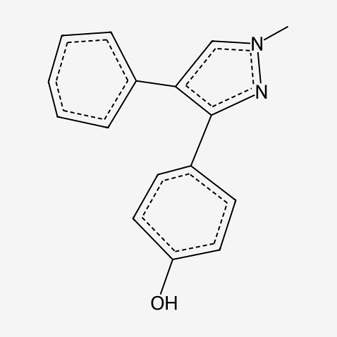 Cn1cc(-c2ccccc2)c(-c2ccc(O)cc2)n1